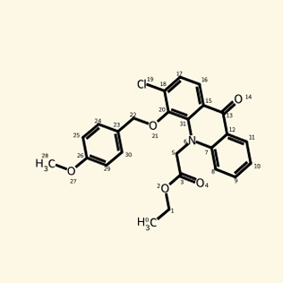 CCOC(=O)Cn1c2ccccc2c(=O)c2ccc(Cl)c(OCc3ccc(OC)cc3)c21